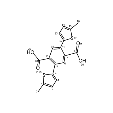 Cc1ccc(-c2cc(C(=O)O)c(-c3ccc(C)s3)cc2C(=O)O)s1